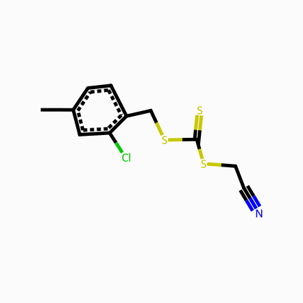 Cc1ccc(CSC(=S)SCC#N)c(Cl)c1